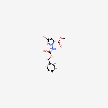 COC(=O)c1cc(Br)cn1NC(=O)OCc1ccccc1